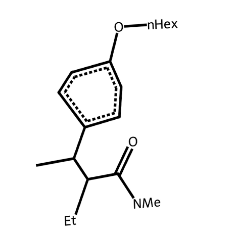 CCCCCCOc1ccc(C(C)C(CC)C(=O)NC)cc1